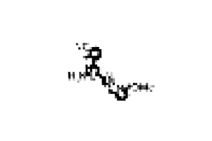 COCc1cccc(Cn2cc(-c3cc(-c4cccc(C#N)c4C)nc(N)n3)nn2)n1